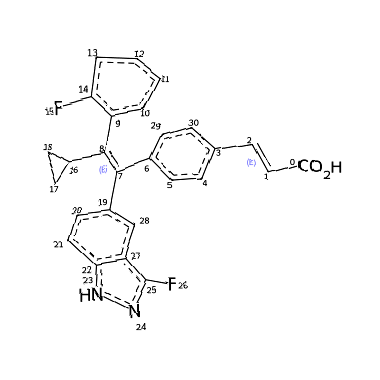 O=C(O)/C=C/c1ccc(/C(=C(\c2ccccc2F)C2CC2)c2ccc3[nH]nc(F)c3c2)cc1